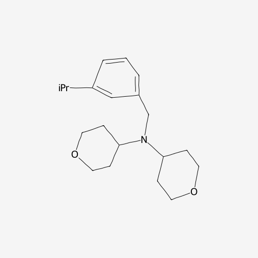 CC(C)c1cccc(CN(C2CCOCC2)C2CCOCC2)c1